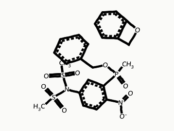 CP(=O)(OCc1ccccc1)c1cc(N(S(C)(=O)=O)S(C)(=O)=O)ccc1[N+](=O)[O-].c1ccc2c(c1)CO2